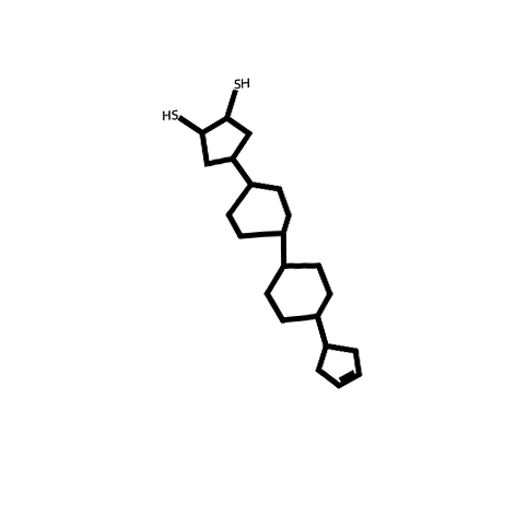 SC1CC(C2CCC(C3CCC(C4CC=CC4)CC3)CC2)CC1S